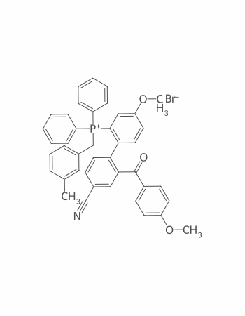 COc1ccc(C(=O)c2cc(C#N)ccc2-c2ccc(OC)cc2[P+](Cc2cccc(C)c2)(c2ccccc2)c2ccccc2)cc1.[Br-]